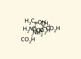 C[C@@H](O)[C@H](N)C(=O)O.C[C@H](N)C(=O)O.NCC(=O)O